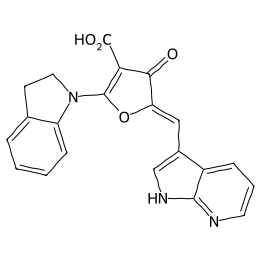 O=C(O)C1=C(N2CCc3ccccc32)OC(=Cc2c[nH]c3ncccc23)C1=O